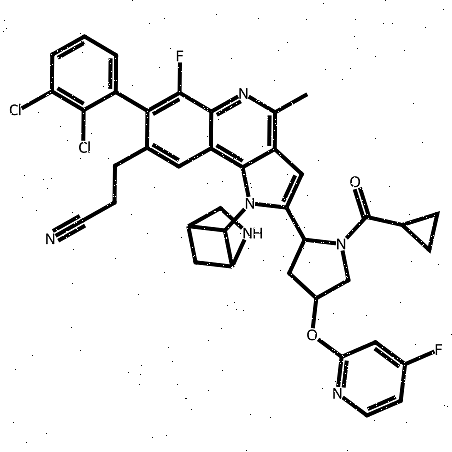 Cc1nc2c(F)c(-c3cccc(Cl)c3Cl)c(CCC#N)cc2c2c1cc(C1CC(Oc3cc(F)ccn3)CN1C(=O)C1CC1)n2C1C2CNC1C2